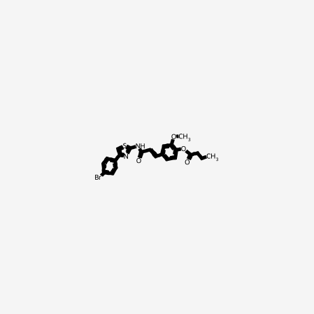 CCCC(=O)Oc1ccc(C=CC(=O)Nc2nc(-c3ccc(Br)cc3)cs2)cc1OC